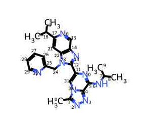 Cc1nnc2c(NC(C)C)nc(-c3nc4cnc(C(C)C)cc4n3Cc3ccccn3)cn12